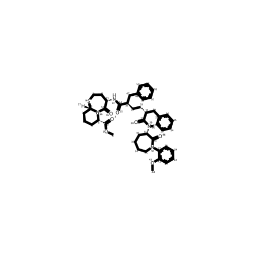 COC(=O)[C@@H]1CCC[C@@H]2SCC[C@H](NC(=O)[C@H](CC[C@H](Cc3ccccc3)C(=O)N(C)[C@H]3CCCCN(c4ccccc4OC)C3=O)Cc3ccccc3)C(=O)N21